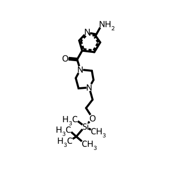 CC(C)(C)[Si](C)(C)OCCN1CCN(C(=O)c2ccc(N)nc2)CC1